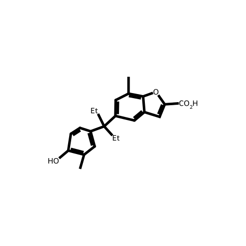 CCC(CC)(c1ccc(O)c(C)c1)c1cc(C)c2oc(C(=O)O)cc2c1